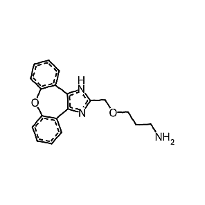 NCCCOCc1nc2c([nH]1)-c1ccccc1Oc1ccccc1-2